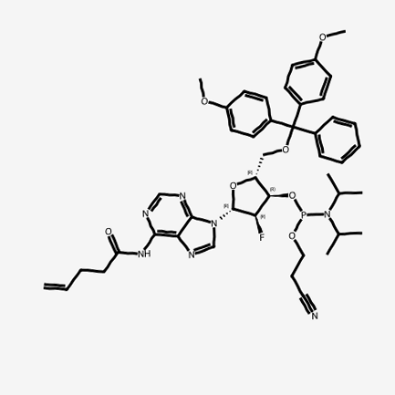 C=CCCC(=O)Nc1ncnc2c1ncn2[C@@H]1O[C@H](COC(c2ccccc2)(c2ccc(OC)cc2)c2ccc(OC)cc2)[C@@H](OP(OCCC#N)N(C(C)C)C(C)C)[C@H]1F